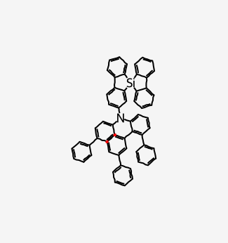 c1ccc(-c2ccc(N(c3ccc4c(c3)[Si]3(c5ccccc5-c5ccccc53)c3ccccc3-4)c3cccc(-c4ccccc4)c3-c3cccc(-c4ccccc4)c3)cc2)cc1